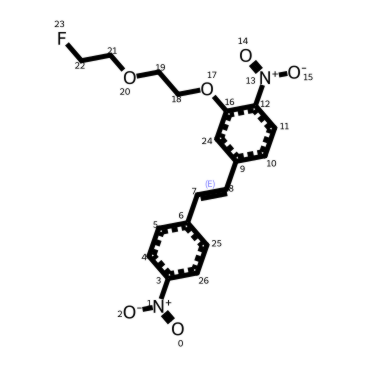 O=[N+]([O-])c1ccc(/C=C/c2ccc([N+](=O)[O-])c(OCCOCCF)c2)cc1